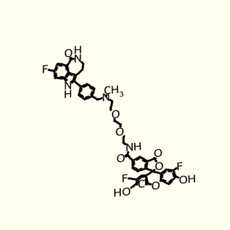 CN(CCOCCOCCNC(=O)c1ccc2c(c1)C(=O)OC21c2cc(F)c(O)cc2Oc2cc(O)c(F)cc21)Cc1ccc(-c2[nH]c3cc(F)cc4c3c2CCNC4=O)cc1